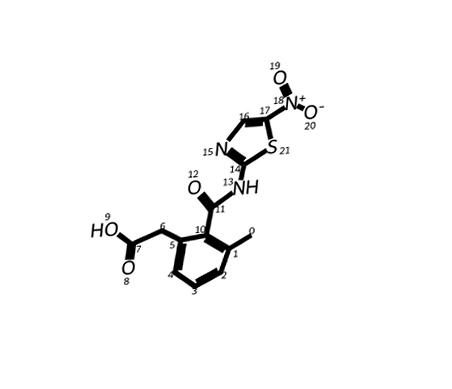 Cc1cccc(CC(=O)O)c1C(=O)Nc1ncc([N+](=O)[O-])s1